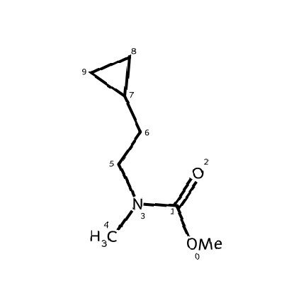 COC(=O)N(C)CCC1CC1